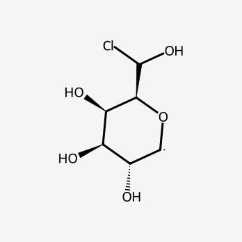 OC(Cl)[C@H]1O[CH][C@H](O)[C@@H](O)[C@H]1O